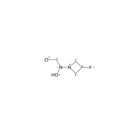 ON(CCl)N1CC(F)C1